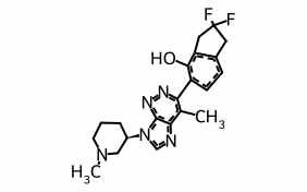 Cc1c(-c2ccc3c(c2O)CC(F)(F)C3)nnc2c1ncn2[C@@H]1CCCN(C)C1